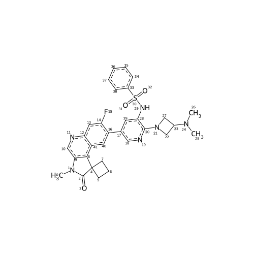 CN1C(=O)C2(CCC2)c2c1cnc1cc(F)c(-c3cnc(N4CC(N(C)C)C4)c(NS(=O)(=O)c4ccccc4)c3)cc21